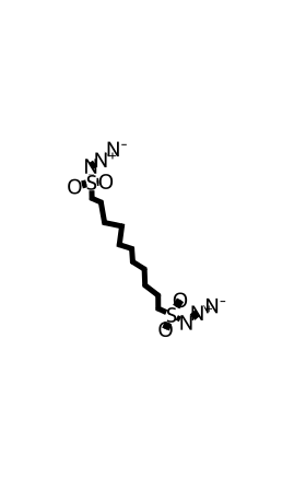 [N-]=[N+]=NS(=O)(=O)CCCCCCCCCCCS(=O)(=O)N=[N+]=[N-]